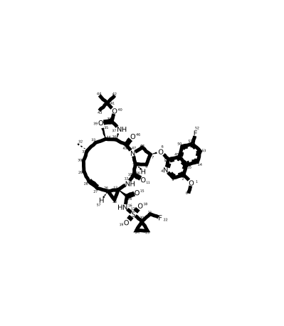 COc1cnc(O[C@@H]2C[C@H]3C(=O)N[C@]4(C(=O)NS(=O)(=O)C5(CF)CC5)C[C@H]4/C=C\CC[C@H](C)C[C@@H](C)[C@H](NC(=O)OC(C)(C)C)C(=O)N3C2)c2cc(F)ccc12